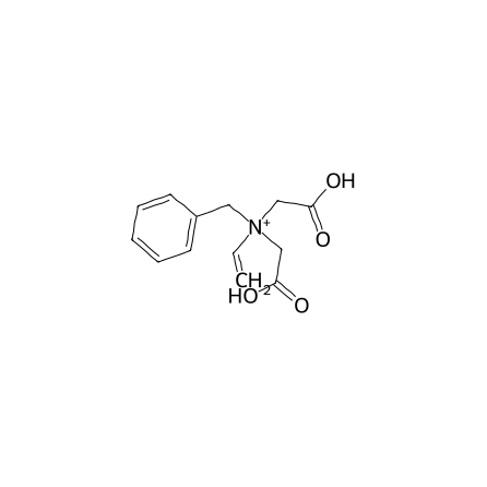 C=C[N+](CC(=O)O)(CC(=O)O)Cc1ccccc1